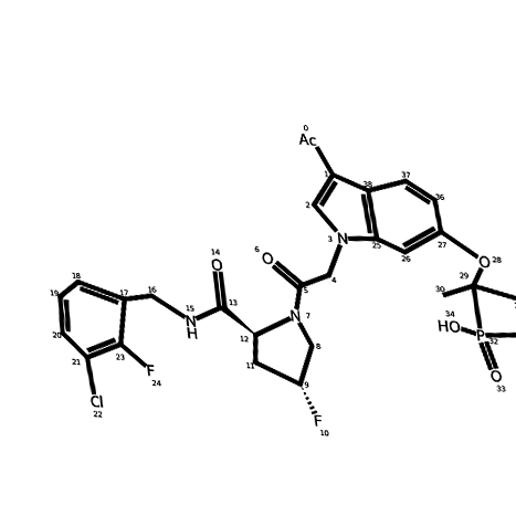 CC(=O)c1cn(CC(=O)N2C[C@H](F)C[C@H]2C(=O)NCc2cccc(Cl)c2F)c2cc(OC(C)(C)P(=O)(O)O)ccc12